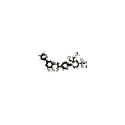 CCC1(CC)CC(P(=O)(O)O)CCN1c1ccc(C(=O)Nc2cc(-c3cccs3)ccc2N)cn1